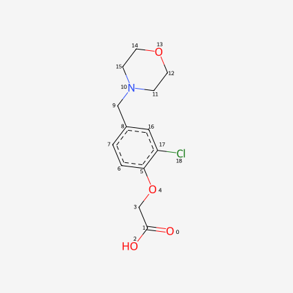 O=C(O)COc1ccc(CN2CCOCC2)cc1Cl